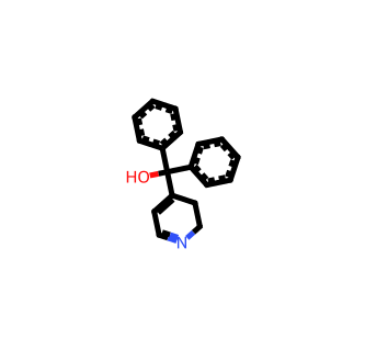 OC(C1=CC=NCC1)(c1ccccc1)c1ccccc1